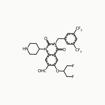 O=Cc1cc2c(cc1OC(CF)CF)c(=O)n(Cc1cc(C(F)(F)F)cc(C(F)(F)F)c1)c(=O)n2C1CCNCC1